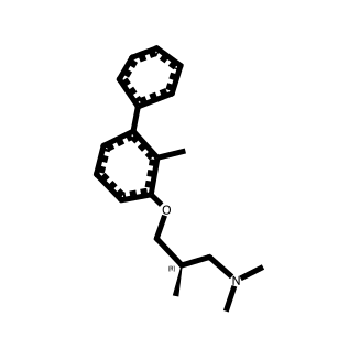 Cc1c(OC[C@H](C)CN(C)C)cccc1-c1ccccc1